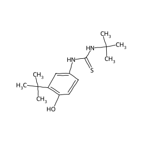 CC(C)(C)NC(=S)Nc1ccc(O)c(C(C)(C)C)c1